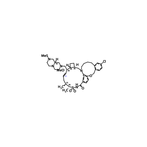 CO[C@@]1(CN2CCN3CCN(SC)C[C@@H]3C2)/C=C/C[C@H](C)[C@@H](C)S(=O)(=O)NC(=O)c2ccc3c(c2)N(CCCCc2cc(Cl)ccc2CO3)C[C@@H]2CC[C@H]21